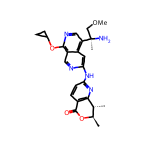 COC[C@@](C)(N)c1cnc(OC2CC2)c2cnc(Nc3ccc4c(n3)[C@H](C)[C@@H](C)OC4=O)cc12